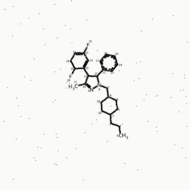 CCCC1CCC(CN2N=C(C)C(C3=CC(F)=CCC3F)C2c2ccccc2)CC1